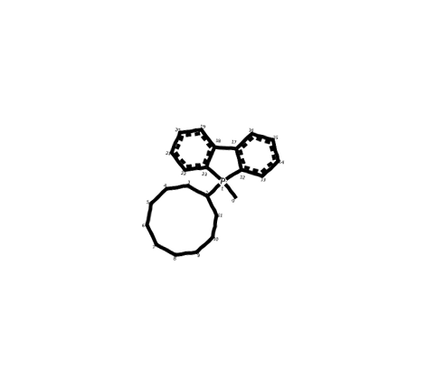 C[P]1(C2CCCCCCCCC2)c2ccccc2-c2ccccc21